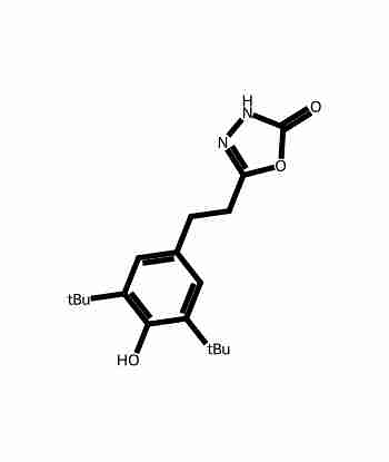 CC(C)(C)c1cc(CCc2n[nH]c(=O)o2)cc(C(C)(C)C)c1O